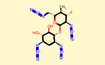 C[C@H]1[C@H](F)[C@@H](N=[N+]=[N-])[C@@H](O[C@H]2[C@H](O)[C@@H](O)[C@H](N=[N+]=[N-])C[C@@H]2N=[N+]=[N-])O[C@@H]1CN=[N+]=[N-]